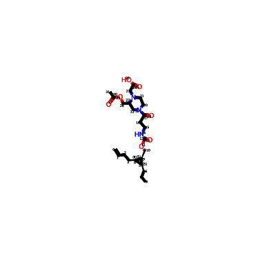 C=CCC[C@@H]1[C@H](CCC)[C@@H]1COC(=O)NCCC(=O)N1CCN(CC(=O)O)C(COC(C)=O)C1